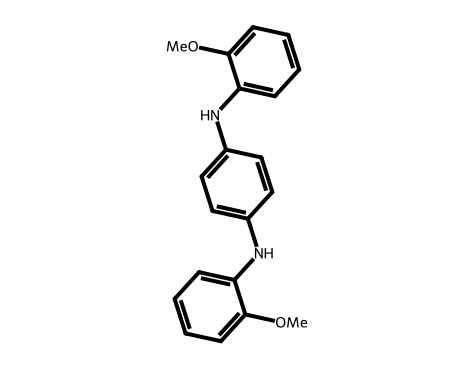 COc1ccccc1Nc1ccc(Nc2ccccc2OC)cc1